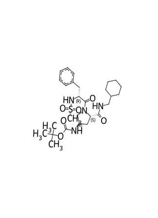 CC(C)(C)OC(=O)N[C@@H]1C[C@@H](C(=O)NCC2CCCCC2)N(C(=O)[C@@H](Cc2ccccc2)NS(C)(=O)=O)C1